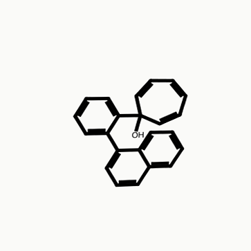 OC1(c2ccccc2-c2cccc3ccccc23)C=CC=CC=C1